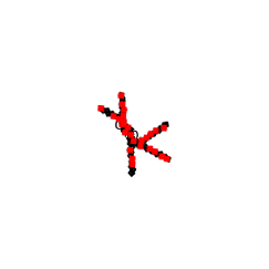 CCCCCCCCCCCCN(CCCCCCCCCCCC)CCN(CCCCCCCCCCCC)CC(=O)N1CC2CC1CN2C(=O)CN(CCCCCCCCC)CCCCCCCCC